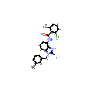 N#Cc1cccc(Cn2c(C(F)(F)F)nc3c(NC(=O)c4c(Cl)cccc4Cl)cccc32)c1